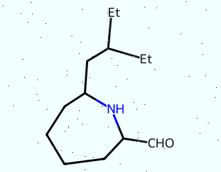 CCC(CC)CC1CCCCC(C=O)N1